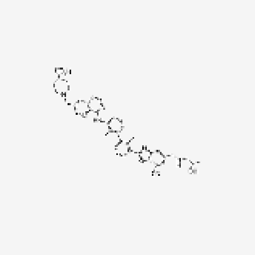 Cc1c(Nc2nccc3cc(CN4CCC(C(=O)O)CC4)cnc23)cccc1-c1cccc(-c2nc3cc(CNCC(C)O)cc(C#N)c3o2)c1C